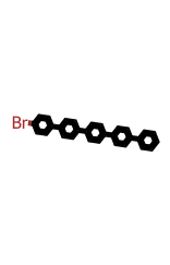 Brc1ccc(-c2ccc(-c3ccc(-c4ccc(-c5ccccc5)cc4)cc3)cc2)cc1